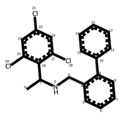 CC(NCc1ccccc1-c1ccccc1)c1c(Cl)cc(Cl)cc1Cl